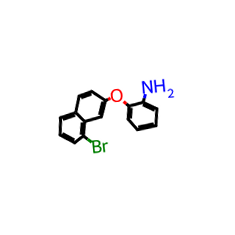 Nc1ccccc1Oc1ccc2cccc(Br)c2c1